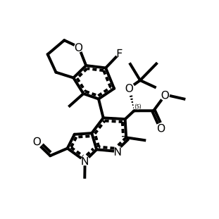 COC(=O)[C@@H](OC(C)(C)C)c1c(C)nc2c(cc(C=O)n2C)c1-c1cc(F)c2c(c1C)CCCO2